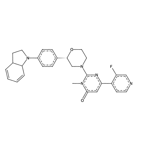 Cn1c(N2CCO[C@@H](c3ccc(N4CCC5C=CC=CC54)cc3)C2)nc(-c2ccncc2F)cc1=O